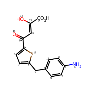 Nc1ccc(Cc2ccc(C(=O)C=C(O)C(=O)O)s2)cc1